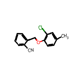 Cc1ccc(OCc2ccccc2C#N)c(Cl)c1